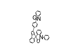 c1ccc(N2c3ccccc3C3(c4ccccc4-c4ccc(-c5ccc(-c6nc7ccccc7o6)cc5)cc43)c3ccccc32)cc1